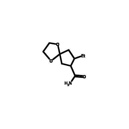 CCC1CC2(CC1C(N)=O)OCCO2